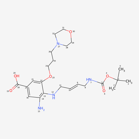 CC(C)(C)OC(=O)NCC=CCNc1c(N)cc(C(=O)O)cc1OCCCN1CCOCC1